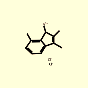 CC1=C(C)[CH]([Ti+2])c2c(C)cccc21.[Cl-].[Cl-]